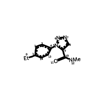 CCc1ccc(-n2nncc2C(=O)NC)cc1